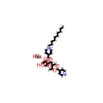 Br.C=C1OC(c2ccncc2)OCC1(CO)OC1(CO)COC(c2cc[n+](CCCCCCCCCC)cc2)OC1=C.[Br-]